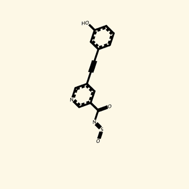 O=S=NC(=O)c1cncc(C#Cc2cccc(O)c2)c1